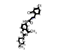 CCc1ccc(/C=C/C(=O)Nc2ccc3nc(N4CCN(C)CC4)nc(C)c3c2)c(Cl)c1